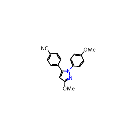 COc1ccc(-n2nc(OC)cc2-c2ccc(C#N)cc2)cc1